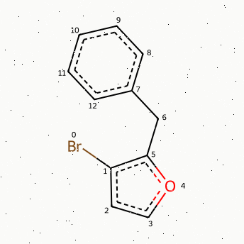 Brc1ccoc1Cc1ccccc1